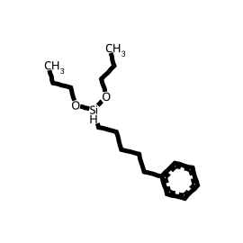 CCCO[SiH](CCCCCc1ccccc1)OCCC